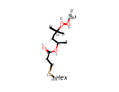 CCCCCCSCCC(=O)OC(C)CC(C)(C)OOC(C)(C)C